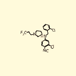 [C-]#[N+]c1ccc(N(Cc2ccccc2Cl)[C@H]2CCN(CCC(F)(F)F)C2)cc1Cl